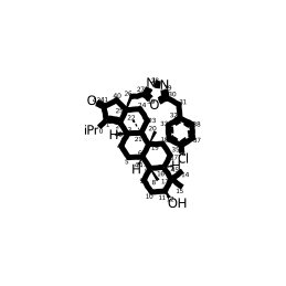 CC(C)C1=C2[C@H]3CC[C@@H]4[C@@]5(C)CC[C@H](O)C(C)(C)[C@@H]5CC[C@@]4(C)[C@]3(C)CC[C@@]2(Cc2nnc(Cc3ccc(Cl)cc3)o2)CC1=O